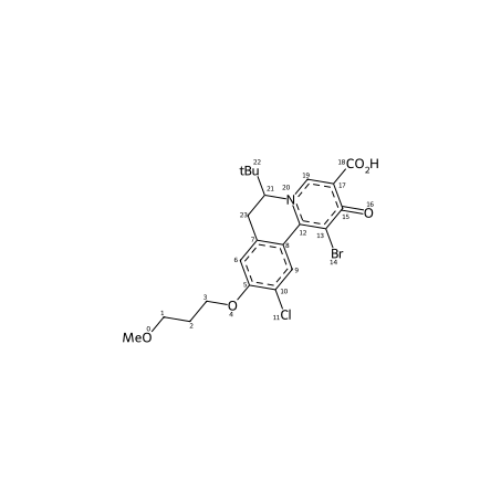 COCCCOc1cc2c(cc1Cl)-c1c(Br)c(=O)c(C(=O)O)cn1C(C(C)(C)C)C2